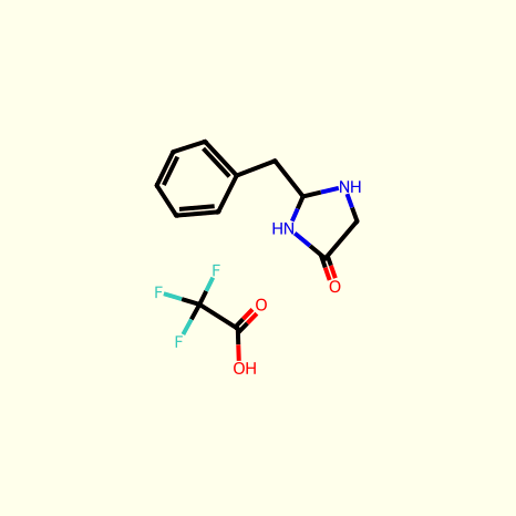 O=C(O)C(F)(F)F.O=C1CNC(Cc2ccccc2)N1